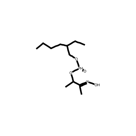 CCCCC(CC)CO[PH](=O)OC(C)C(C)=NO